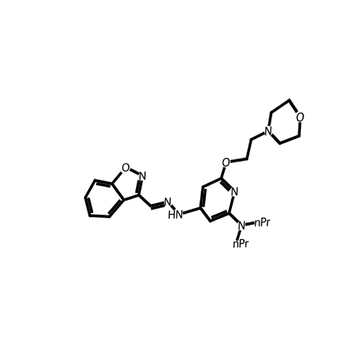 CCCN(CCC)c1cc(N/N=C/c2noc3ccccc23)cc(OCCN2CCOCC2)n1